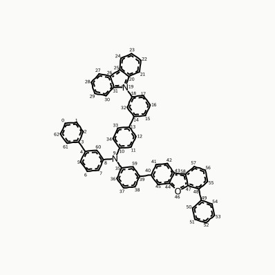 c1ccc(-c2cccc(N(c3ccc(-c4cccc(-n5c6ccccc6c6ccccc65)c4)cc3)c3cccc(-c4ccc5c(c4)oc4c(-c6ccccc6)cccc45)c3)c2)cc1